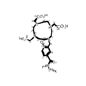 CCCCCCNC(=O)c1cc[n+]([O-])c(CN2CCN(CC(=O)O)CCN(CC(=O)O)CCN(CC(=O)O)CC2)c1